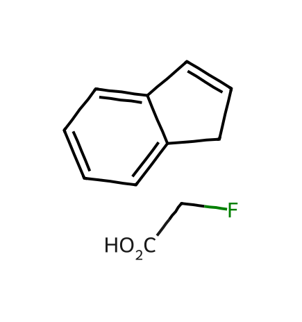 C1=Cc2ccccc2C1.O=C(O)CF